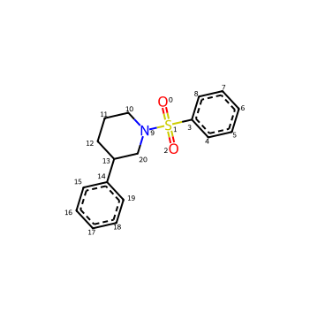 O=S(=O)(c1ccccc1)N1CCCC(c2ccccc2)C1